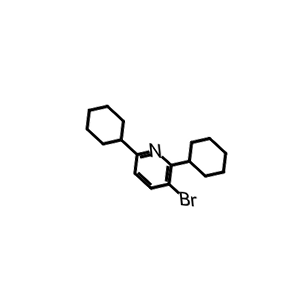 Brc1ccc(C2CCCCC2)nc1C1CCCCC1